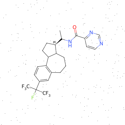 CC(NC(=O)c1ccncn1)[C@@H]1CCC2c3ccc(C(F)(C(F)(F)F)C(F)(F)F)cc3CCCC21